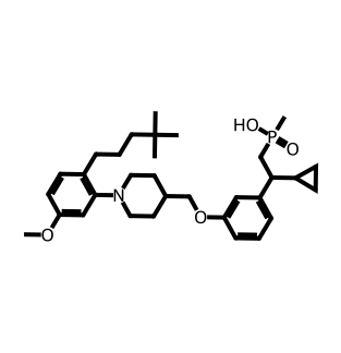 COc1ccc(CCCC(C)(C)C)c(N2CCC(COc3cccc(C(CP(C)(=O)O)C4CC4)c3)CC2)c1